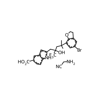 CC(C)(CC(O)(Cc1cc2cc(C(=O)O)ccc2[nH]1)C(F)(F)F)c1cc(Br)cc2c1OCC2.N#CCN